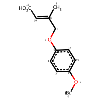 CCC(C)Oc1ccc(OCC(C)=CC(=O)O)cc1